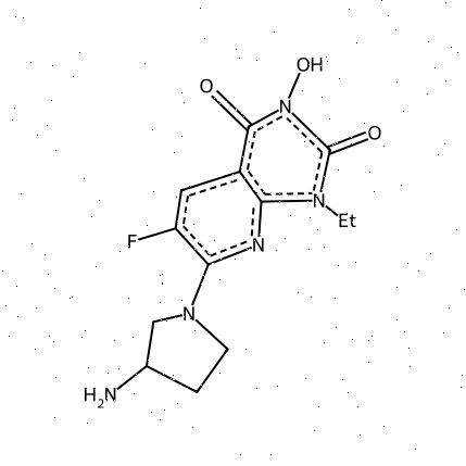 CCn1c(=O)n(O)c(=O)c2cc(F)c(N3CCC(N)C3)nc21